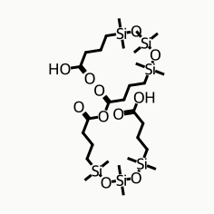 C[Si](C)(CCCC(=O)O)O[Si](C)(C)O[Si](C)(C)CCCC(=O)OC(=O)CCC[Si](C)(C)O[Si](C)(C)O[Si](C)(C)CCCC(=O)O